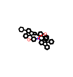 c1ccc(C2(c3ccccc3)c3ccccc3-c3ccc(N(c4ccc5c(c4)C4(c6ccccc6O5)c5cc(C6CCCCC6)ccc5-c5ccc(C6CCCCC6)cc54)c4cccc5oc6ccccc6c45)cc32)cc1